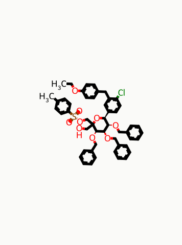 CCOc1ccc(Cc2cc([C@@H]3OC(CO)(COS(=O)(=O)c4ccc(C)cc4)[C@@H](OCc4ccccc4)[C@H](OCc4ccccc4)[C@H]3OCc3ccccc3)ccc2Cl)cc1